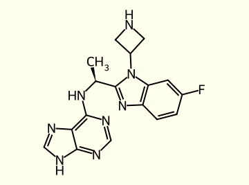 C[C@H](Nc1ncnc2[nH]cnc12)c1nc2ccc(F)cc2n1C1CNC1